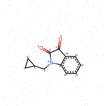 O=C1C(=O)N(CC2CC2)c2ccccc21